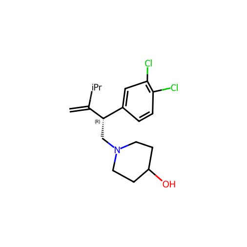 C=C(C(C)C)[C@@H](CN1CCC(O)CC1)c1ccc(Cl)c(Cl)c1